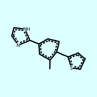 Cc1cc(-c2ncc[nH]2)ccc1-c1cccs1